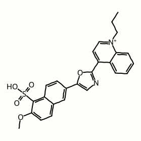 CCC[n+]1ccc(-c2ncc(-c3ccc4c(S(=O)(=O)O)c(OC)ccc4c3)o2)c2ccccc21